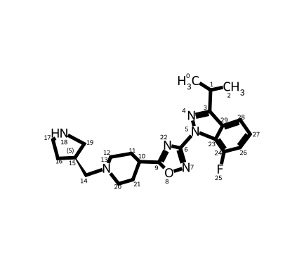 CC(C)c1nn(-c2noc(C3CCN(C[C@H]4CCNC4)CC3)n2)c2c(F)cccc12